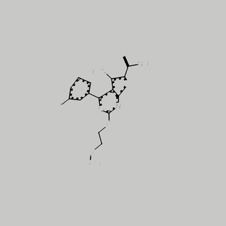 CC(C)(C)OCCOc1nc(-c2cccc(Cl)c2)c2c(N)c(C(N)=O)sc2n1